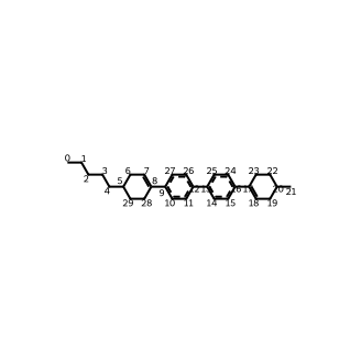 CCCCCC1CC=C(c2ccc(-c3ccc(C4=CCC(C)CC4)cc3)cc2)CC1